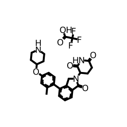 Cc1cc(OC2CCNCC2)ccc1-c1cccc2c1CN(C1CCC(=O)NC1=O)C2=O.O=C(O)C(F)(F)F